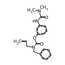 C=CCN(Cc1ccccc1)C(=O)Oc1cccc(NC(=O)N(C)C)c1